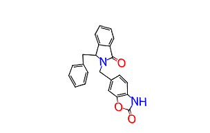 O=C1c2ccccc2C(Cc2ccccc2)N1Cc1ccc2[nH]c(=O)oc2c1